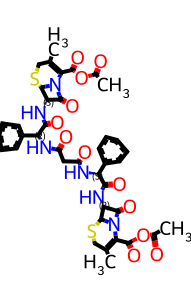 CC(=O)OC(=O)C1=C(C)CSC2[C@H](NC(=O)[C@@H](NC(=O)CC(=O)N[C@@H](C(=O)N[C@H]3C(=O)N4C(C(=O)OC(C)=O)=C(C)CSC34)c3ccccc3)c3ccccc3)C(=O)N12